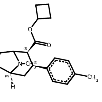 Cc1ccc([C@H]2C[C@H]3CCC([C@H]2C(=O)OC2CCC2)N3C)cc1